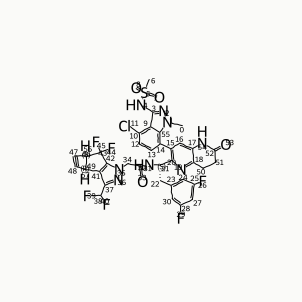 Cn1nc(NS(C)(=O)=O)c2c(Cl)ccc(-c3cc4c(nc3[C@H](Cc3cc(F)cc(F)c3)NC(=O)Cn3nc(C(F)F)c5c3C(F)(F)[C@@H]3C#C[C@H]53)CCC(=O)N4)c21